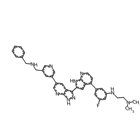 CN(C)CCNc1cc(F)cc(-c2ccnc3[nH]c(-c4n[nH]c5ncc(-c6cncc(CNCc7ccccc7)c6)cc45)cc23)c1